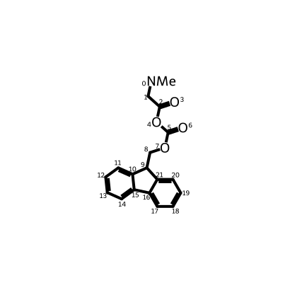 CNCC(=O)OC(=O)OCC1c2ccccc2-c2ccccc21